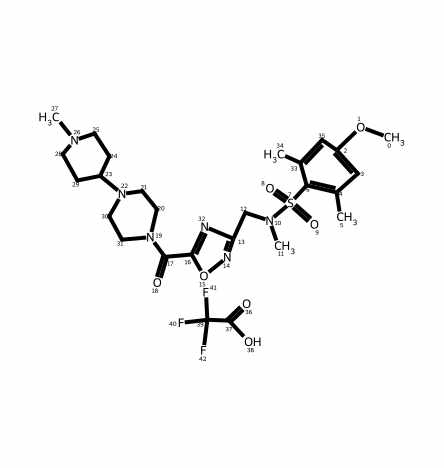 COc1cc(C)c(S(=O)(=O)N(C)Cc2noc(C(=O)N3CCN(C4CCN(C)CC4)CC3)n2)c(C)c1.O=C(O)C(F)(F)F